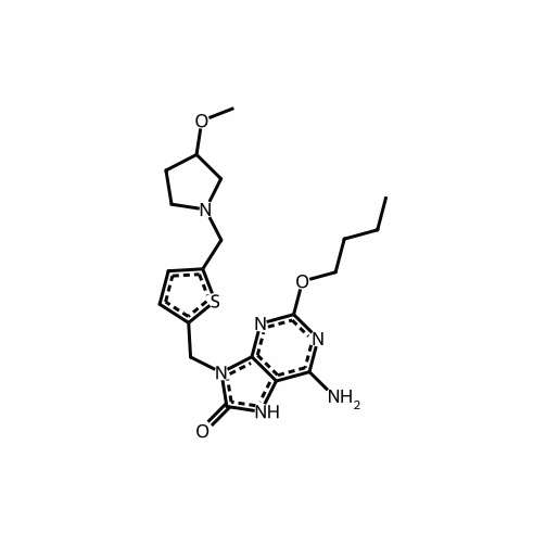 CCCCOc1nc(N)c2[nH]c(=O)n(Cc3ccc(CN4CCC(OC)C4)s3)c2n1